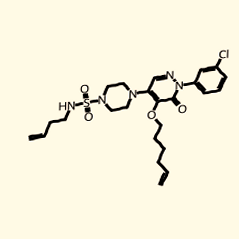 C=CCCCCOc1c(N2CCN(S(=O)(=O)NCCC=C)CC2)cnn(-c2cccc(Cl)c2)c1=O